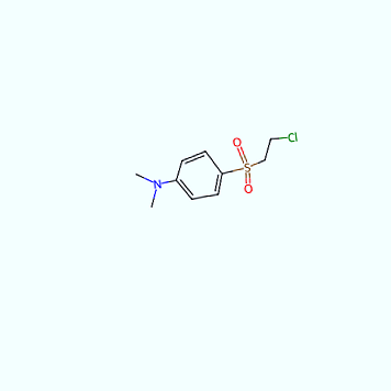 CN(C)c1ccc(S(=O)(=O)CCCl)cc1